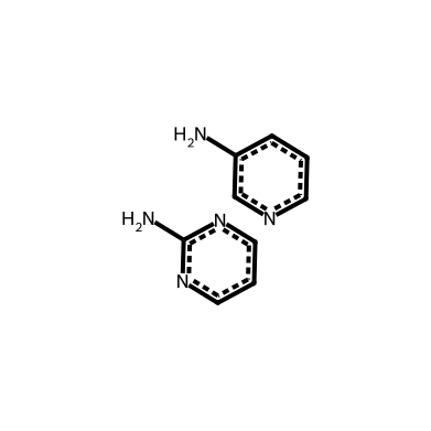 Nc1cccnc1.Nc1ncccn1